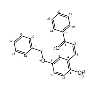 O=C(/C=C\c1cc(OCc2ccccc2)ccc1O)c1ccccc1